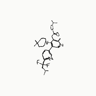 Cc1ncc(-c2ccc(C(F)(F)CC(C)C)nc2)c(N2CCC(C)(C)CC2)c1CC(=O)OC(C)C